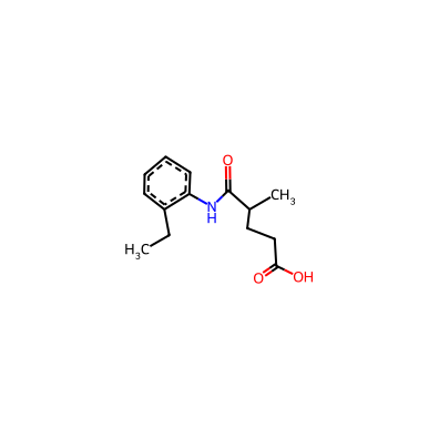 CCc1ccccc1NC(=O)C(C)CCC(=O)O